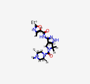 CCc1nc(C)c(C(=O)Nc2n[nH]c3c2CN(C(=O)N2C[C@@H](C)N(C)C[C@@H]2C)C3(C)C)o1